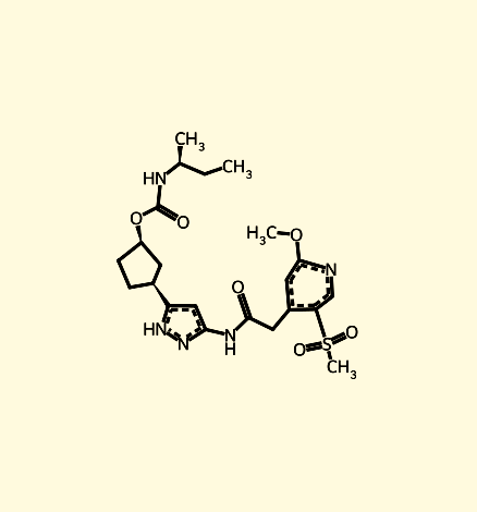 CC[C@H](C)NC(=O)O[C@@H]1CC[C@H](c2cc(NC(=O)Cc3cc(OC)ncc3S(C)(=O)=O)n[nH]2)C1